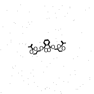 C=C(C)C(=O)OC(CC)COC(=O)c1ccccc1C(=O)OCC(CC)OC(=O)C(=C)C